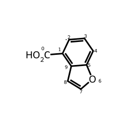 O=C(O)c1[c]ccc2occc12